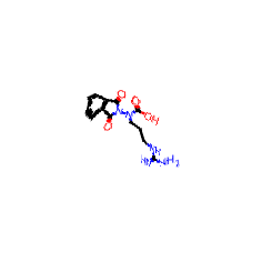 N=C(N)NCCCN(C(=O)O)N1C(=O)c2ccccc2C1=O